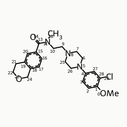 COc1ccc(N2CCN(CCN(C)C(=O)c3ccc4c(c3)CCOC4)CC2)cc1Cl